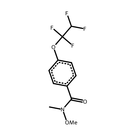 CON(C)C(=O)c1ccc(OC(F)(F)C(F)F)cc1